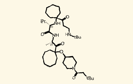 CC(C)[C@H](NC1(C(=O)CCNC(C)(C)C)CCCCCC1)C(=O)N[C@@H](C)C(=O)C1(OC2CCN(C(=O)CC(C)(C)C)CC2)CCCCCCC1